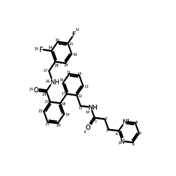 O=C(CCc1ncccn1)NCc1ccccc1-c1ccccc1C(=O)NCc1ccc(F)cc1F